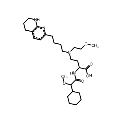 COCCN(CCCCc1ccc2c(n1)NCCC2)CCC(NC(=O)C(OC)C1CCCCC1)C(=O)O